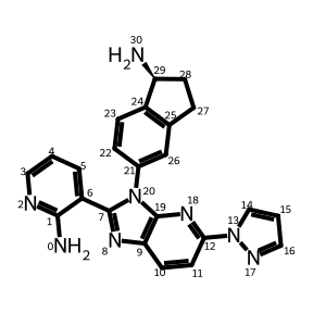 Nc1ncccc1-c1nc2ccc(-n3cccn3)nc2n1-c1ccc2c(c1)CC[C@@H]2N